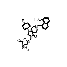 Cc1cccc2cccc(CN3CCC4(CC3)C(=O)N(C[C@H]3CN(C)C(=O)O3)CN4c3ccc(F)cc3)c12